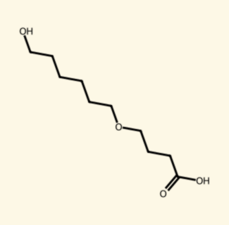 O=C(O)CCCOCCCCCCO